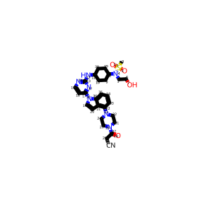 CS(=O)(=O)N(CCO)C1CCC(Nc2nccc(-n3ccc4c(N5CCN(C(=O)CC#N)CC5)cccc43)n2)CC1